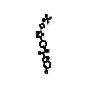 O=C(NN1CCC(c2nnc([C@H]3C[C@@H](OC(F)(F)F)C3)o2)CC1)c1cc2cc(Cl)ccc2o1